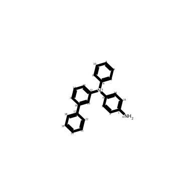 Nc1ccc(N(c2ccccc2)c2cccc(-c3ccccc3)c2)cc1